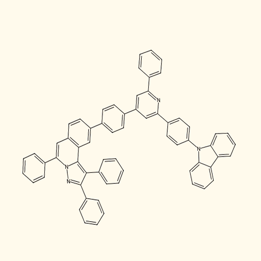 c1ccc(-c2cc(-c3ccc(-c4ccc5cc(-c6ccccc6)n6nc(-c7ccccc7)c(-c7ccccc7)c6c5c4)cc3)cc(-c3ccc(-n4c5ccccc5c5ccccc54)cc3)n2)cc1